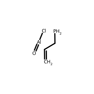 C=CCP.[O]=[Al][Cl]